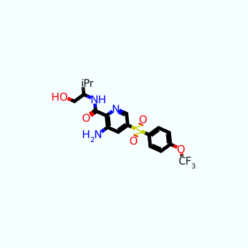 CC(C)C(CO)NC(=O)c1ncc(S(=O)(=O)c2ccc(OC(F)(F)F)cc2)cc1N